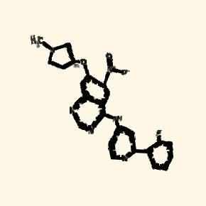 CN1CC[C@@H](Oc2cc3ncnc(Nc4ccnc(-c5ccccc5F)c4)c3cc2[N+](=O)[O-])C1